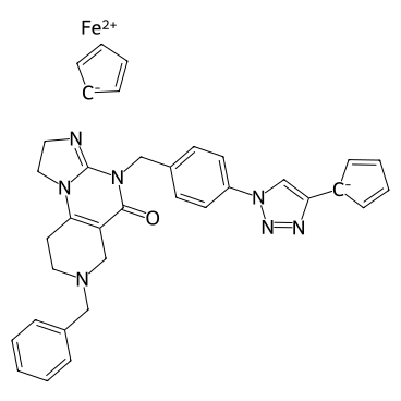 O=C1C2=C(CCN(Cc3ccccc3)C2)N2CCN=C2N1Cc1ccc(-n2cc(-[c-]3cccc3)nn2)cc1.[Fe+2].c1cc[cH-]c1